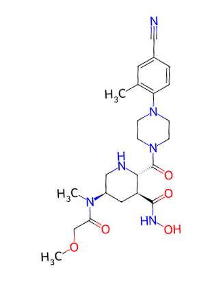 COCC(=O)N(C)[C@H]1CN[C@H](C(=O)N2CCN(c3ccc(C#N)cc3C)CC2)[C@@H](C(=O)NO)C1